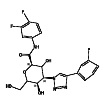 O=C(Nc1ccc(F)c(F)c1)[C@@H]1OC(CO)[C@H](O)[C@H](n2cc(-c3cccc(F)c3)nn2)C1O